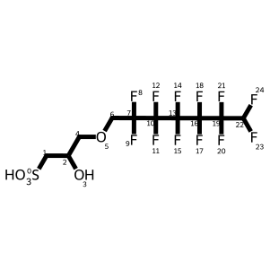 O=S(=O)(O)CC(O)COCC(F)(F)C(F)(F)C(F)(F)C(F)(F)C(F)(F)C(F)F